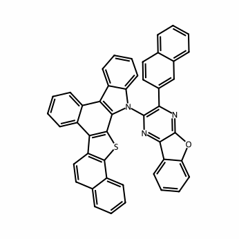 c1ccc2cc(-c3nc4oc5ccccc5c4nc3-n3c4ccccc4c4c5ccccc5c5c6ccc7ccccc7c6sc5c43)ccc2c1